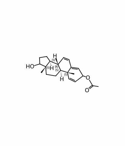 CC(=O)OC1C=C[C@@]2(C)C(=C1)C=C[C@@H]1[C@@H]2CC[C@]2(C)C(O)CC[C@@H]12